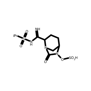 CC(C)S(=O)(=O)NC(=N)C1CCC2CN1C(=O)N2OS(=O)(=O)O